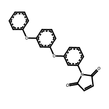 O=C1C=CC(=O)N1c1cccc(Oc2cccc(Oc3ccccc3)c2)c1